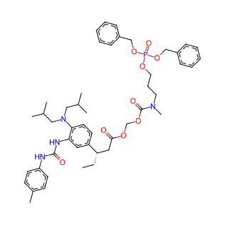 CC[C@@H](CC(=O)OCOC(=O)N(C)CCCOP(=O)(OCc1ccccc1)OCc1ccccc1)c1ccc(N(CC(C)C)CC(C)C)c(NC(=O)Nc2ccc(C)cc2)c1